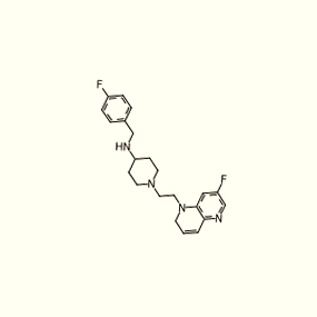 Fc1ccc(CNC2CCN(CCN3CC=Cc4ncc(F)cc43)CC2)cc1